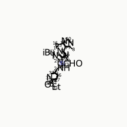 CC[C@H](C)N(C)c1nc(-c2c(C)ncnc2C2CC2)nc(C)c1/N=C(\C=O)NCc1ccc([S+]([O-])CC)nc1